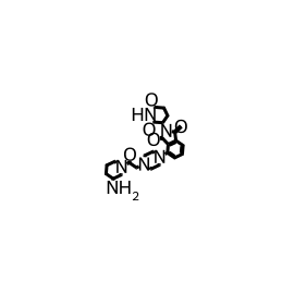 NC1CCCN(C(=O)CN2CCN(c3cccc4c3C(=O)N(C3CCC(=O)NC3=O)C4=O)CC2)C1